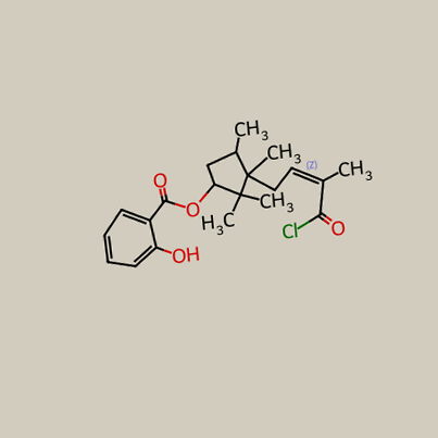 C/C(=C/CC1(C)C(C)CC(OC(=O)c2ccccc2O)C1(C)C)C(=O)Cl